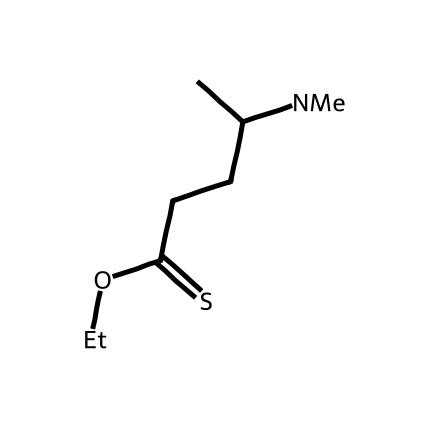 CCOC(=S)CCC(C)NC